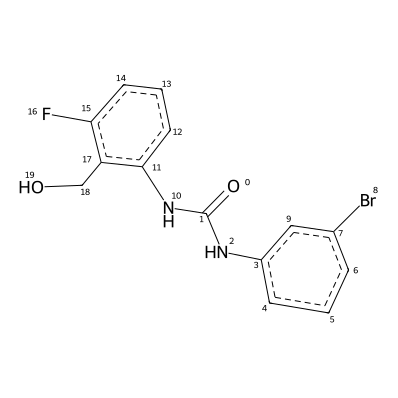 O=C(Nc1cccc(Br)c1)Nc1cccc(F)c1CO